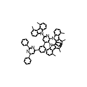 Cc1cccc2c1c1c(C)cccc1n2-c1cc(-c2cccc(-c3cc(-c4ccccc4)nc(-c4ccccc4)n3)c2)c(-n2c3cccc(C)c3c3c(C)cccc32)c(-n2c3cccc(C)c3c3c(C)cccc32)n1